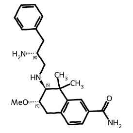 CO[C@H]1Cc2ccc(C(N)=O)cc2C(C)(C)[C@@H]1NC[C@H](N)Cc1ccccc1